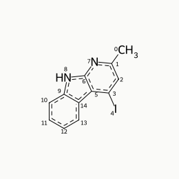 Cc1cc(I)c2c(n1)[nH]c1ccccc12